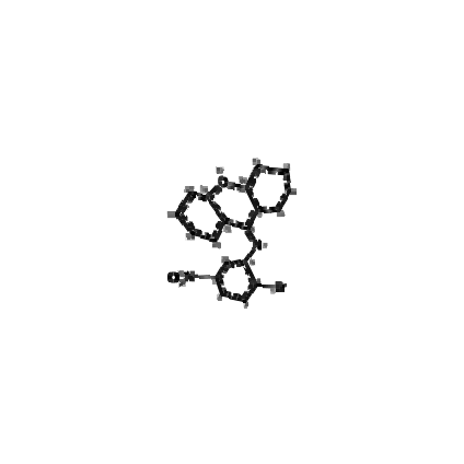 O=[N+]([O-])c1ccc(Br)c(N=c2c3ccccc3oc3ccccc23)c1